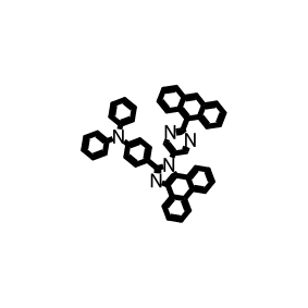 c1ccc(N(c2ccccc2)c2ccc(-c3nc4c5ccccc5c5ccccc5c4n3-c3cnc(-c4c5ccccc5cc5ccccc45)nc3)cc2)cc1